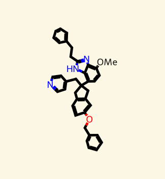 COc1ccc(C2(Cc3ccncc3)Cc3ccc(OCc4ccccc4)cc3C2)c2[nH]c(CCc3ccccc3)nc12